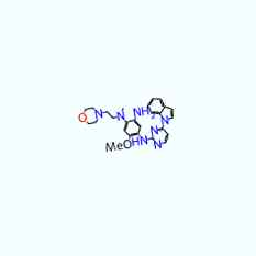 COc1cc(N(C)CCN2CCOCC2)c(N)cc1Nc1nccc(-n2ccc3ccccc32)n1